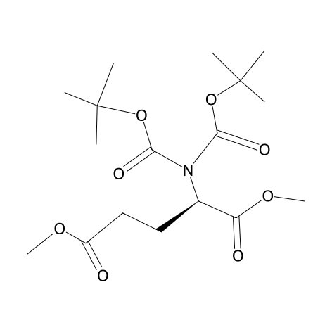 COC(=O)CC[C@H](C(=O)OC)N(C(=O)OC(C)(C)C)C(=O)OC(C)(C)C